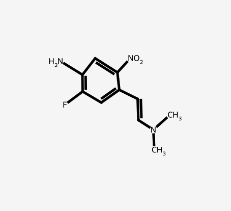 CN(C)/C=C/c1cc(F)c(N)cc1[N+](=O)[O-]